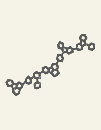 c1ccc(-n2c3ccccc3c3cc(-c4ccc5c(c4)c4ccccc4n5-c4ccc(-c5cc6c7c(cccc7c5)-c5cc(-c7ccc(-c8ccc(-c9cc%10c%11c(cccc%11c9)-c9ccccc9-%10)cc8)c(-c8ccccn8)n7)ccc5-6)cc4)ccc32)cc1